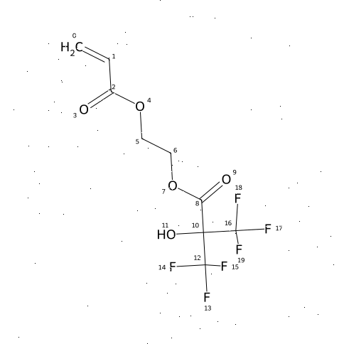 C=CC(=O)OCCOC(=O)C(O)(C(F)(F)F)C(F)(F)F